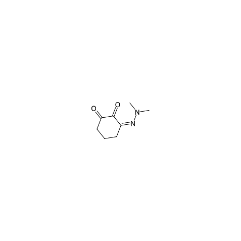 CN(C)/N=C1/CCCC(=O)C1=O